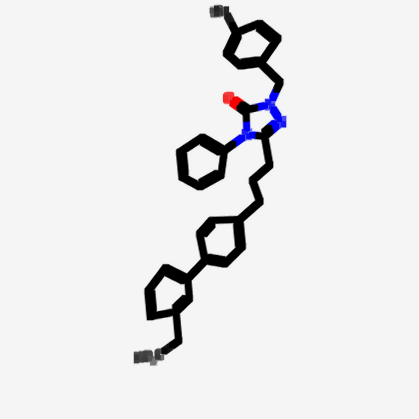 CC(C)(C)c1ccc(Cn2nc(CCCc3ccc(-c4cccc(CC(=O)O)c4)cc3)n(-c3ccccc3)c2=O)cc1